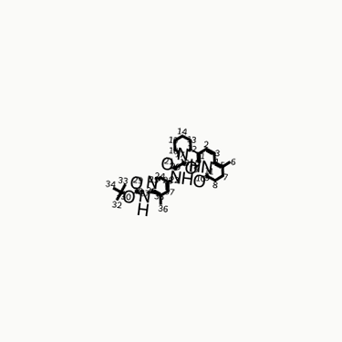 C=C(/C=C\C1=C(C)CCC(=O)N1)[C@@H]1CCCCN1C(=O)C(=O)Nc1cnc(NC(=O)OC(C)(C)C)c(C)c1